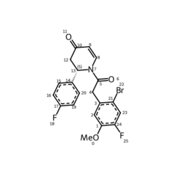 COc1cc(CC(=O)N2C=CC(=O)C[C@H]2c2ccc(F)cc2)c(Br)cc1F